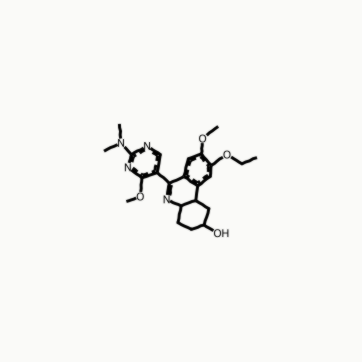 CCOc1cc2c(cc1OC)C(c1cnc(N(C)C)nc1OC)=NC1CCC(O)CC21